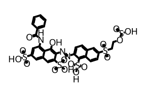 O=C(Nc1cc(S(=O)(=O)O)cc2cc(S(=O)(=O)O)c(/N=N/c3ccc4cc(S(=O)(=O)CCOS(=O)O)ccc4c3S(=O)(=O)O)c(O)c12)c1ccccc1